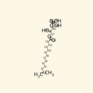 CC(C)CCCCCCCCCCCC(=O)OCC(O)COP(=O)(O)O